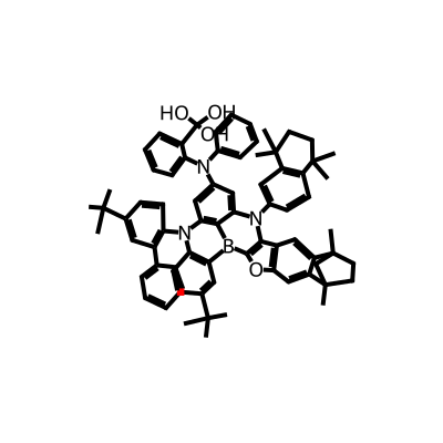 CC(C)(C)c1ccc2c(c1)B1c3oc4cc5c(cc4c3N(c3ccc4c(c3)C(C)(C)CCC4(C)C)c3cc(N(c4ccccc4)c4ccccc4C(O)(O)O)cc(c31)N2c1ccc(C(C)(C)C)cc1-c1ccccc1)C1(C)CCC5(C)C1